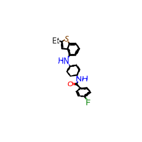 CCc1cc2c(N[C@H]3CC[C@@H](NC(=O)c4ccc(F)cc4)CC3)cccc2s1